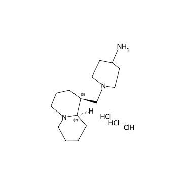 Cl.Cl.Cl.NC1CCN(C[C@@H]2CCCN3CCCC[C@H]23)CC1